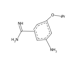 CC(C)Oc1cc(N)cc(C(=N)N)c1